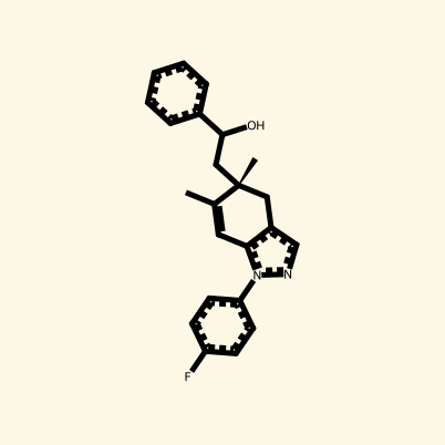 CC1=Cc2c(cnn2-c2ccc(F)cc2)C[C@@]1(C)CC(O)c1ccccc1